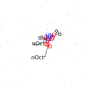 CCCCCCCC/C=C\CCCCCCCC(=O)OCC(CNC(=O)C(CC(=O)OC(C)(C)C)NC(=O)OCC1c2ccccc2-c2ccccc21)OC(=O)CCCCCCC/C=C\CCCCCCCC